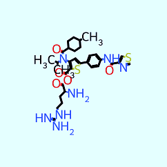 CC1CCC(C(=O)N(c2cc(-c3ccc(NC(=O)c4cscn4)cc3)sc2C(=O)OC(=O)[C@@H](N)CCCNC(=N)N)C(C)C)CC1